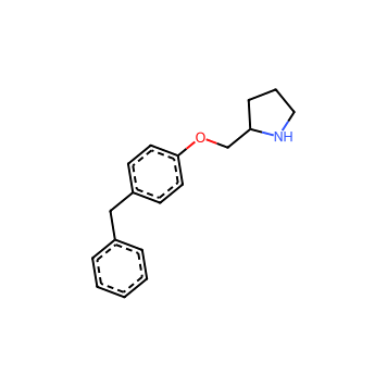 c1ccc(Cc2ccc(OCC3CCCN3)cc2)cc1